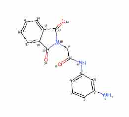 Nc1cccc(NC(=O)CN2C(=O)c3ccccc3C2=O)c1